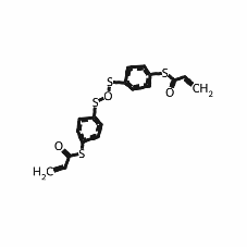 C=CC(=O)Sc1ccc(SOSc2ccc(SC(=O)C=C)cc2)cc1